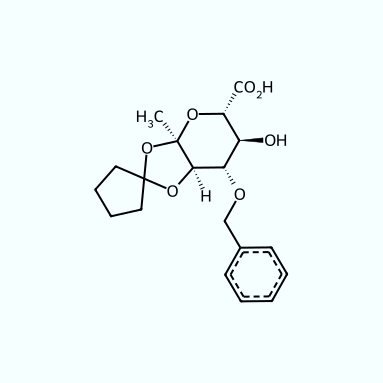 C[C@]12O[C@H](C(=O)O)[C@@H](O)[C@H](OCc3ccccc3)[C@H]1OC1(CCCC1)O2